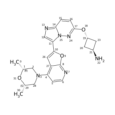 C[C@@H]1CN(c2ccnc3oc(-c4cnc5ccc(O[C@H]6C[C@H](N)C6)nn45)cc23)C[C@H](C)O1